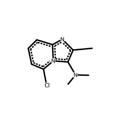 Cc1nc2cccc(Cl)n2c1N(C)C